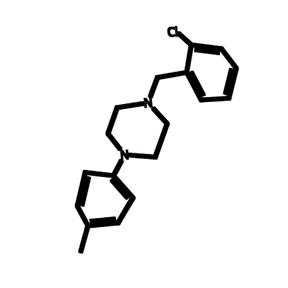 Cc1ccc(N2CCN(Cc3ccccc3Cl)CC2)cc1